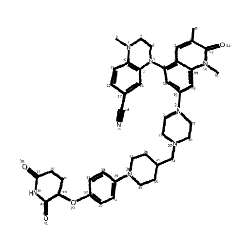 Cc1cc2c(N3CCN(C)c4ccc(C#N)cc43)cc(N3CCN(CC4CCN(c5ccc(OC6CCC(=O)NC6=O)cc5)CC4)CC3)cc2n(C)c1=O